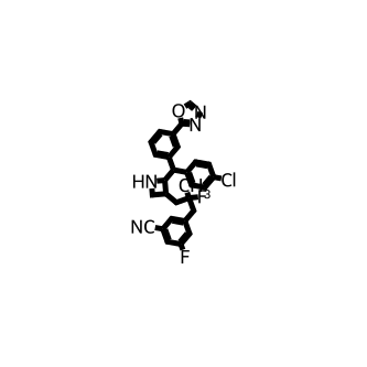 CC(F)(Cc1cc(F)cc(C#N)c1)CC1CNC1C(c1ccc(Cl)cc1)c1cccc(-c2nnco2)c1